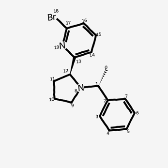 C[C@H](c1ccccc1)N1CCC[C@H]1c1cccc(Br)n1